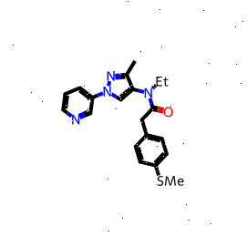 CCN(C(=O)Cc1ccc(SC)cc1)c1cn(-c2cccnc2)nc1C